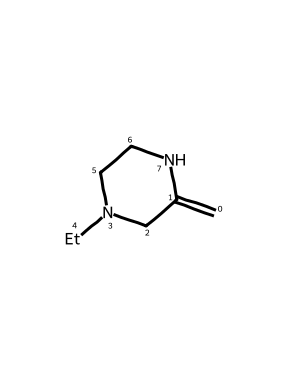 C=C1CN(CC)CCN1